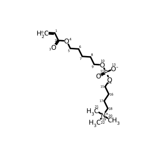 C=CC(=O)OCCCCCOP(=O)([O-])OCCCC[N+](C)(C)C